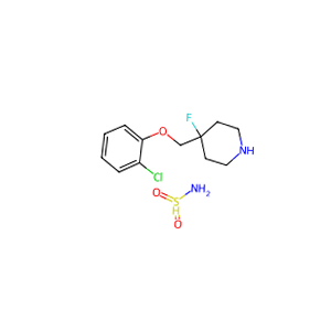 FC1(COc2ccccc2Cl)CCNCC1.N[SH](=O)=O